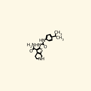 CC(C)c1ccc(NC(=O)Nc2sc3c(c2C(N)=O)CCNC3)cc1